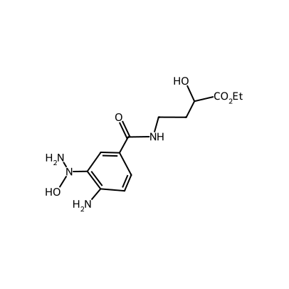 CCOC(=O)C(O)CCNC(=O)c1ccc(N)c(N(N)O)c1